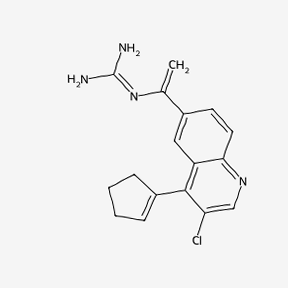 C=C(N=C(N)N)c1ccc2ncc(Cl)c(C3=CCCC3)c2c1